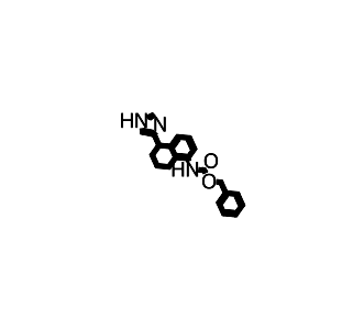 O=C(Nc1cccc2c1CCCC2c1c[nH]cn1)OCc1ccccc1